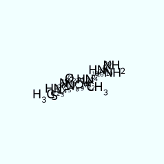 CSc1cc2cn(-c3ccc([C@H](C)NCCCNC(=N)N)cc3)c(=O)nc2[nH]1